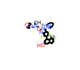 CCc1c(F)ccc2cc(O)cc(-c3c(F)cc4c(N5CC6CCC(C5)N6)nc(OCN(C)CN5C6COCC5C6)nc4c3F)c12